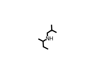 CCC(C)NC[C](C)C